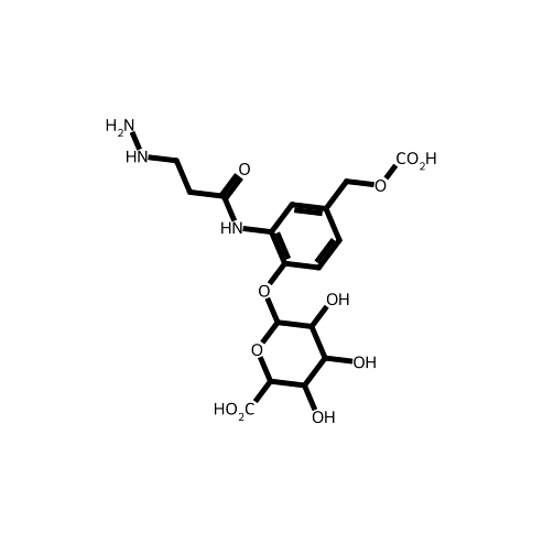 NNCCC(=O)Nc1cc(COC(=O)O)ccc1OC1OC(C(=O)O)C(O)C(O)C1O